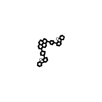 C1=Cc2oc3c(-c4ccc(-c5ccc6ccc7ccc(-c8ccc(-c9cccc%10c9oc9ccccc9%10)cc8)c8ccc5c6c78)cc4)cccc3c2CC1